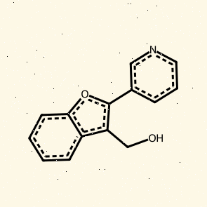 OCc1c(-c2cccnc2)oc2ccccc12